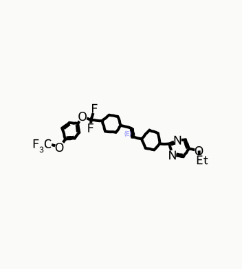 CCOc1cnc(C2CCC(/C=C/C3CCC(C(F)(F)Oc4ccc(OC(F)(F)F)cc4)CC3)CC2)nc1